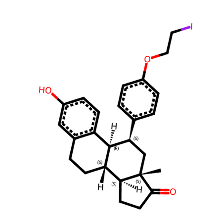 C[C@]12C[C@H](c3ccc(OCCI)cc3)[C@@H]3c4ccc(O)cc4CC[C@H]3[C@@H]1CCC2=O